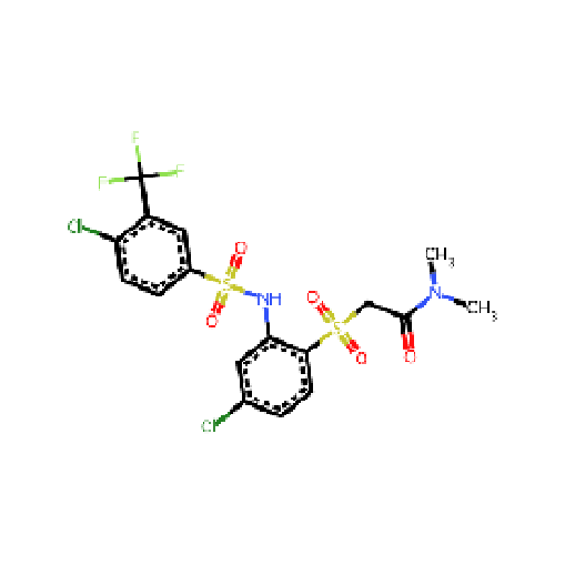 CN(C)C(=O)CS(=O)(=O)c1ccc(Cl)cc1NS(=O)(=O)c1ccc(Cl)c(C(F)(F)F)c1